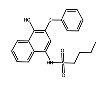 CCCCS(=O)(=O)Nc1cc(Sc2ccccc2)c(O)c2ccccc12